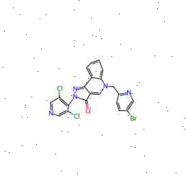 O=c1c2cn(Cc3ccc(Br)cn3)c3ccccc3c-2nn1-c1c(Cl)cncc1Cl